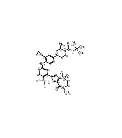 C[C@@H]1CN(c2ccc(Nc3ncc(C(F)(F)F)c(-c4cc5c(s4)C(=O)N(C)CCS5(=O)=O)n3)c(C3CC3)c2)CCN1C(=O)OC(C)(C)C